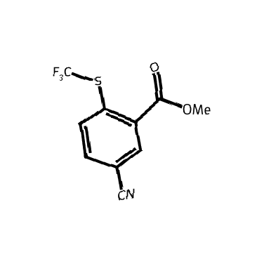 COC(=O)c1cc(C#N)ccc1SC(F)(F)F